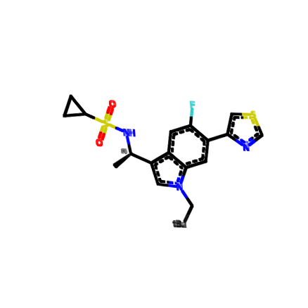 C[C@@H](NS(=O)(=O)C1CC1)c1cn(CC(C)(C)C)c2cc(-c3cscn3)c(F)cc12